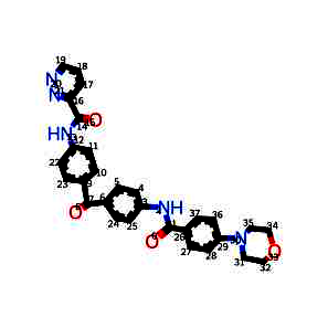 O=C(Nc1ccc(C(=O)c2ccc(NC(=O)c3cccnn3)cc2)cc1)c1ccc(N2CCOCC2)cc1